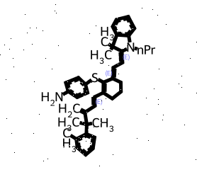 C=C(/C=C/C1=C(Sc2ccc(N)cc2)C(=C/C=C2/N(CCC)c3ccccc3C2(C)C)/CCC1)C(C)(C)c1ccccc1C